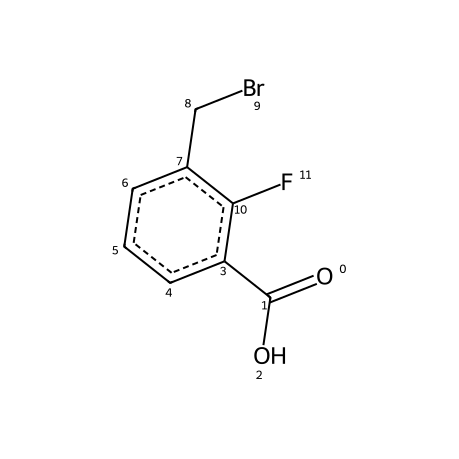 O=C(O)c1cccc(CBr)c1F